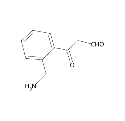 NCc1ccccc1C(=O)CC=O